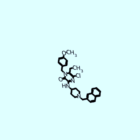 CCc1c(Cl)nc(NC2CCN(Cc3ccc4ccccc4c3)CC2)c(=O)n1Cc1ccc(OC)cc1